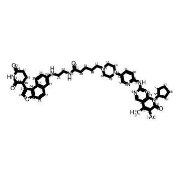 CC(=O)c1c(C)c2cnc(Nc3ccc(N4CCN(CCCCC(=O)NCCNc5ccc6c(ccc7occ(C8CCC(=O)NC8=O)c76)c5)CC4)cn3)nc2n(C2CCCC2)c1=O